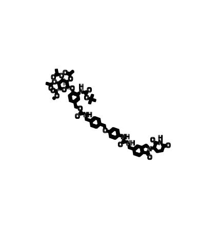 COC(=O)[C@H]1O[C@@H](Oc2ccc(COC(=O)NCc3ccc(COc4ccc(NC(=O)NCc5ccc6c(c5)CN(C5CCC(=O)NC5=O)C6=O)cc4)cc3)cc2NC(=O)OC(C)(C)C)[C@H](OC(C)=O)[C@@H](OC(C)=O)[C@@H]1OC(C)=O